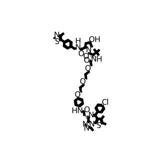 Cc1ncsc1-c1ccc(CNC(=O)C2C[C@H](O)CN2C(=O)[C@@H](NC(=O)COCCCOCCCOc2ccc(NC(=O)C[C@@H]3N=C(c4ccc(Cl)cc4)c4c(sc(C)c4C)-n4c(C)nnc43)cc2)C(C)(C)C)cc1